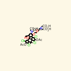 C#Cc1cc(N(CC(=O)O)CC(=O)O)c(OCCOCCN(CC(=O)O)CC(=O)O)cc1C1(O)c2cc(Cl)c(OC(C)=O)c(Cl)c2C(C)(C)c2c1cc(Cl)c(OC(C)=O)c2Cl